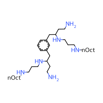 CCCCCCCCNCCCNC(CCN)Cc1cccc(CC(CCN)NCCCNCCCCCCCC)c1